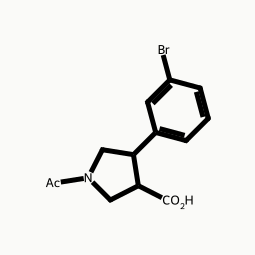 CC(=O)N1CC(C(=O)O)C(c2cccc(Br)c2)C1